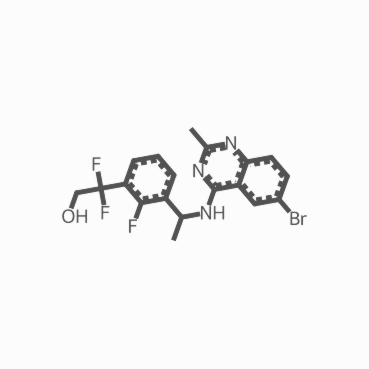 Cc1nc(NC(C)c2cccc(C(F)(F)CO)c2F)c2cc(Br)ccc2n1